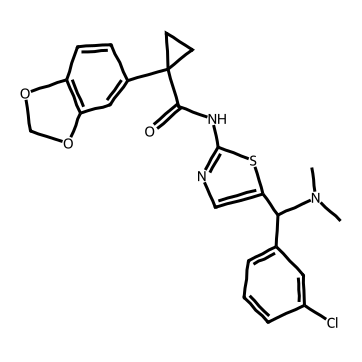 CN(C)C(c1cccc(Cl)c1)c1cnc(NC(=O)C2(c3ccc4c(c3)OCO4)CC2)s1